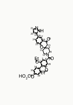 CCOc1cc(C(=O)N2CCC3(CC2)CC(=O)c2cc(-c4ccn[nH]4)ccc2O3)cc(OCC)c1-c1ccc(OC(=O)O)cc1